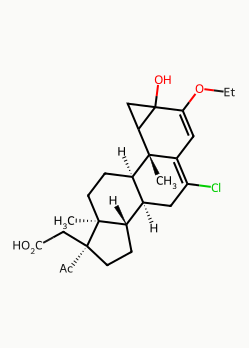 CCOC1=CC2=C(Cl)C[C@@H]3[C@@H](CC[C@@]4(C)[C@H]3CC[C@]4(CC(=O)O)C(C)=O)[C@]2(C)C2CC12O